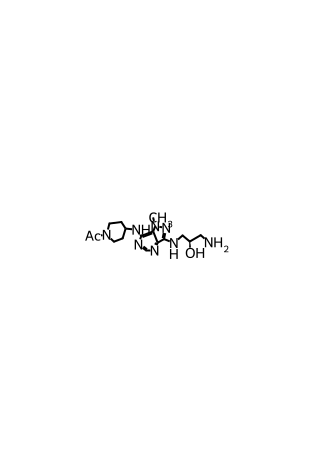 CC(=O)N1CCC(Nc2ncnc3c(NC[C@H](O)CN)nn(C)c23)CC1